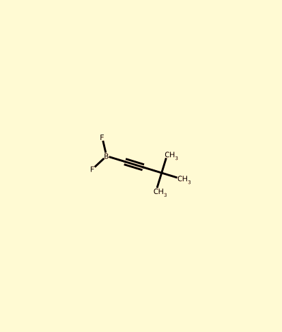 CC(C)(C)C#CB(F)F